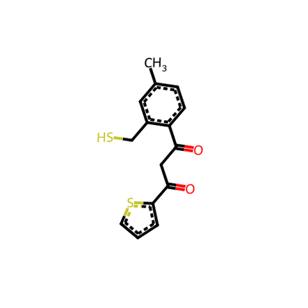 Cc1ccc(C(=O)CC(=O)c2cccs2)c(CS)c1